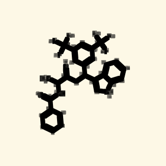 CC(NC(=O)c1ccccc1)C(=O)CC(c1cc(C(F)(F)F)cc(C(F)(F)F)c1)c1c[nH]c2ccccc12